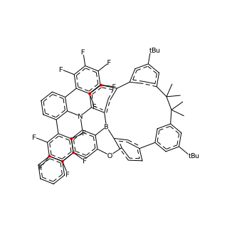 CC(C)(C)c1cc2cc(c1)C(C)(C)C(C)(C)c1cc(cc(C(C)(C)C)c1)-c1ccc3c(c1)B1c4cc-2ccc4Oc2cc(-c4ccccc4)cc(c21)N3c1c(-c2c(F)c(F)c(F)c(F)c2F)cccc1-c1c(F)c(F)c(F)c(F)c1F